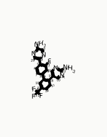 Nc1cnc(-c2ccc(-c3cc(C(F)(F)F)ccc3-c3cnc(N)nc3)cc2F)cn1